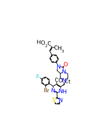 CCOC(=O)C1=C(CN2CCN3C(=O)N(c4ccc(/C=C(\C)C(=O)O)cc4)CC3C2)NC(c2nccs2)=NC1c1ccc(F)cc1Br